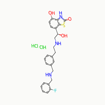 Cl.Cl.O=c1[nH]c2c(O)ccc([C@@H](O)CNCCc3cccc(CNCc4ccccc4F)c3)c2s1